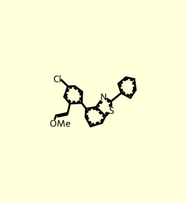 CO/C=C/c1cc(Cl)ccc1-c1cccc2sc(-c3ccccc3)nc12